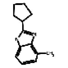 Cc1cccc2c1N=C(C1CCCC1)[N]2